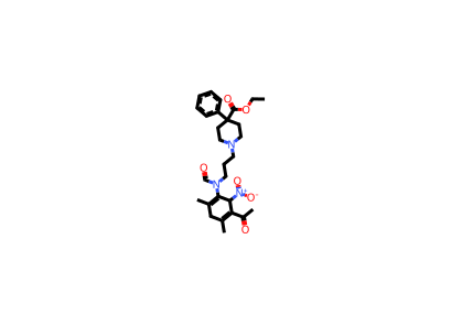 CCOC(=O)C1(c2ccccc2)CCN(CCCN(C=O)C2=C(C)CC(C)=C(C(C)=O)C2[N+](=O)[O-])CC1